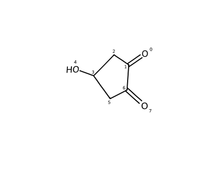 O=C1CC(O)CC1=O